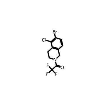 O=C(N1CCc2c(ccc(Br)c2Cl)C1)C(F)(F)F